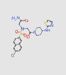 NC(=O)CN(CC(=O)N1CCC(Nc2nccs2)CC1)S(=O)(=O)c1ccc2cc(Cl)ccc2c1